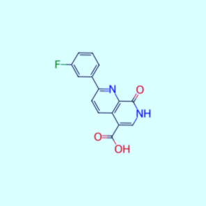 O=C(O)c1c[nH]c(=O)c2nc(-c3cccc(F)c3)ccc12